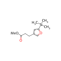 COC(=O)CCc1coc([Si](C)(C)C)c1